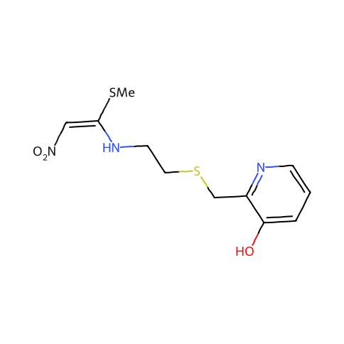 CS/C(=C/[N+](=O)[O-])NCCSCc1ncccc1O